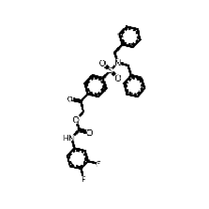 O=C(Nc1ccc(F)c(F)c1)OCC(=O)c1ccc(S(=O)(=O)N(Cc2ccccc2)Cc2ccccc2)cc1